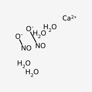 O.O.O.O.O=N[O-].O=N[O-].[Ca+2]